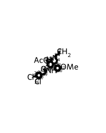 C=CCN1CC[C@@]2(c3cccc(OC)c3)C[C@H](NC(=O)Cc3ccc(Cl)c(Cl)c3)CC(OC(C)=O)[C@@H]2C1